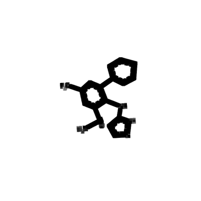 NC(=O)c1cc(C(F)(F)F)cc(-c2ccccc2)c1Nc1ccn[nH]1